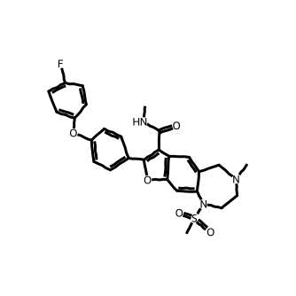 CNC(=O)c1c(-c2ccc(Oc3ccc(F)cc3)cc2)oc2cc3c(cc12)CN(C)CCN3S(C)(=O)=O